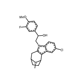 COc1ccc(C(O)Cn2c3c(c4cc(Cl)ccc42)C2CCC(C3)N2C)cc1F